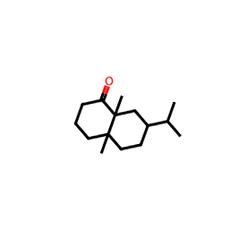 CC(C)C1CCC2(C)CCCC(=O)C2(C)C1